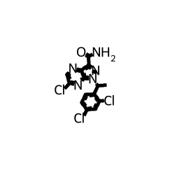 CC(c1ccc(Cl)cc1Cl)n1nc(C(N)=O)c2ncc(Cl)nc21